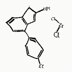 CCCC1=Cc2c(cccc2-c2ccc(CC)cc2)[CH]1.[Cl][Zr][Cl]